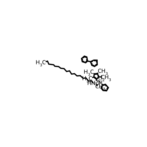 CCCCCCCCCCCCCCCCCC[NH][Zr]([CH3])([SiH2]c1ccccc1)[C]1=C(C)C(C)=C(C)C1C.c1ccc(-c2ccccc2)cc1